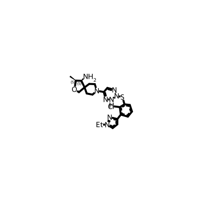 CCn1ccc(-c2cccc(SN3N=CC(N4CCC5(CC4)CO[C@@H](C)[C@H]5N)=NN3)c2Cl)n1